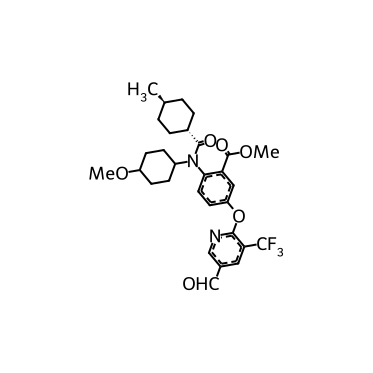 COC(=O)c1cc(Oc2ncc(C=O)cc2C(F)(F)F)ccc1N(C(=O)[C@H]1CC[C@H](C)CC1)C1CCC(OC)CC1